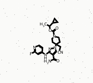 CC(OC(=O)N1CCC(CC#N)(n2cc(C(N)=O)c(Nc3ccnc(F)c3)n2)CC1)C1CC1